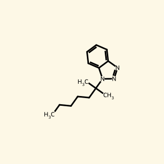 CCCCCC(C)(C)n1nnc2ccccc21